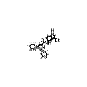 CCc1c[nH]c2ccc(NC(=O)c3cc(N4CCCCC4)nc(N4CCOCC4)n3)cc12